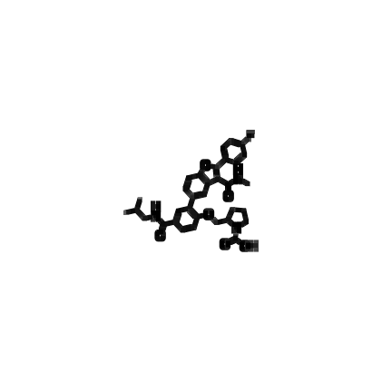 CNC(=O)c1c(-c2ccc(F)cc2)oc2ccc(-c3cc(C(=O)NCC(C)C)ccc3OCC3CCCN3C(=O)O)cc12